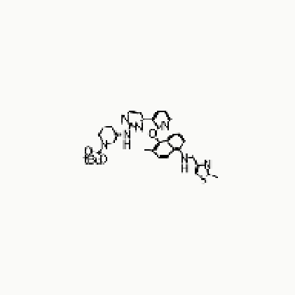 Cc1nc(CNc2cccc3c(Oc4ncccc4-c4ccnc(N[C@H]5CCCN(C(=O)OC(C)(C)C)C5)n4)c(C)ccc23)cs1